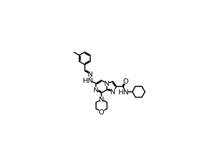 Cc1cccc(/C=N/Nc2cn3cc(C(=O)NC4CCCCC4)nc3c(N3CCOCC3)n2)c1